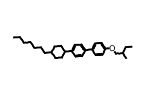 CCCCCCCC1CCC(c2ccc(-c3ccc(OCC(C)CC)cc3)cc2)CC1